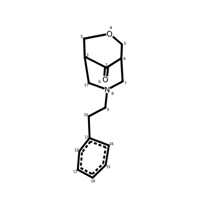 O=C1C2COCC1CN(CCc1ccccc1)C2